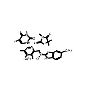 CN1C(=O)OC(C)(C)C1=O.COc1ccc2[nH]c([S+]([O-])Cc3ncc(C)c(OC)c3C)nc2c1.O=c1[nH]cc(F)c(=O)[nH]1